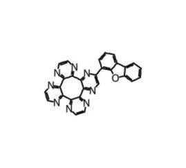 c1ccc2c(c1)oc1c(-c3cnc4c(n3)-c3nccnc3-c3nccnc3-c3nccnc3-4)cccc12